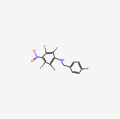 O=[N+]([O-])c1c(F)c(F)c(NCc2ccc(F)cc2)c(F)c1F